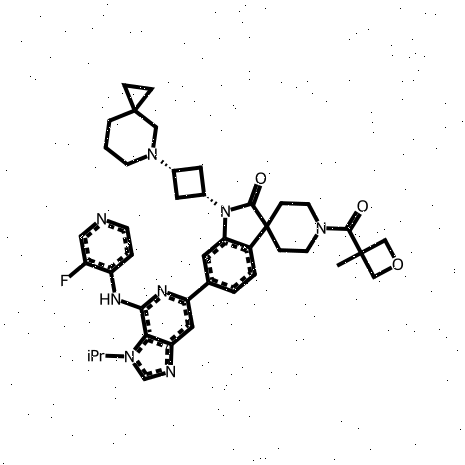 CC(C)n1cnc2cc(-c3ccc4c(c3)N([C@H]3C[C@@H](N5CCCC6(CC6)C5)C3)C(=O)C43CCN(C(=O)C4(C)COC4)CC3)nc(Nc3ccncc3F)c21